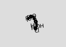 O=C(c1cccc(OC(F)(F)F)c1)N1CC(N2CCC(CNC(O)c3cc(F)cc(Cl)c3)CC2)C1